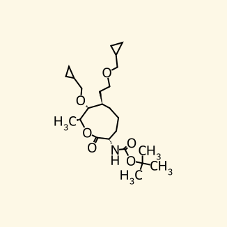 C[C@@H]1OC(=O)[C@@H](NC(=O)OC(C)(C)C)CCC[C@H](CCOCC2CC2)[C@H]1OCC1CC1